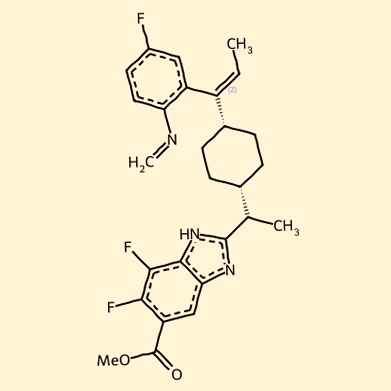 C=Nc1ccc(F)cc1/C(=C\C)[C@H]1CC[C@@H](C(C)c2nc3cc(C(=O)OC)c(F)c(F)c3[nH]2)CC1